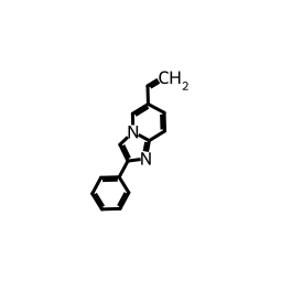 C=Cc1ccc2nc(-c3ccccc3)cn2c1